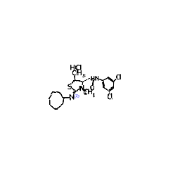 CC1S/C(=N\C2CCCCCC2)N(C)C1CC(=O)Nc1cc(Cl)cc(Cl)c1.Cl